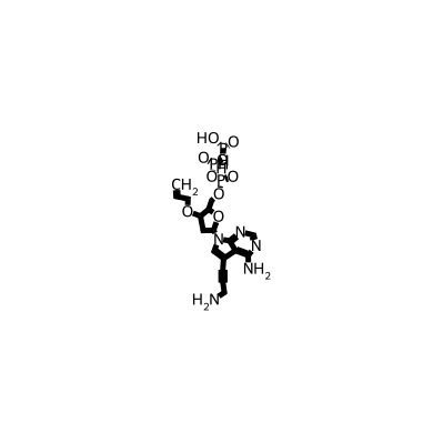 C=CCOC1CC(n2cc(C#CCN)c3c(N)ncnc32)OC1CO[PH](=O)O[PH](=O)O[PH](=O)O